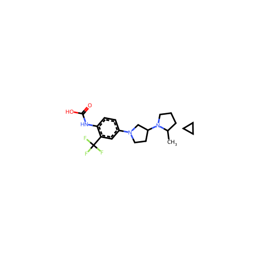 C1CC1.CC1CCCN1C1CCN(c2ccc(NC(=O)O)c(C(F)(F)F)c2)C1